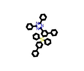 c1ccc(-c2ccc(S(c3ccccc3)(c3ccccc3)c3cc(-c4ccccc4)cc(-c4nc(-c5ccccc5)nc(-c5ccccc5)n4)c3)cc2)cc1